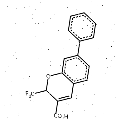 O=C(O)C1=Cc2ccc(-c3ccccc3)cc2OC1C(F)(F)F